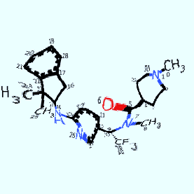 CN1CCC(C(=O)N(C)[C@@H](c2ccc(NC3Cc4ccccc4C3(C)C)nc2)C(F)(F)F)CC1